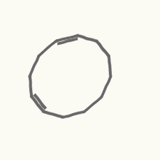 C1=CCCCCCCC=CCC1